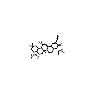 COC(=O)[C@H]1C(=O)C(C#N)=C[C@]2(C)C3=CC(=O)C4C5CC(C)(C)CC[C@]5(C(=O)OC)CC[C@@]4(C)[C@]3(C)CCC12